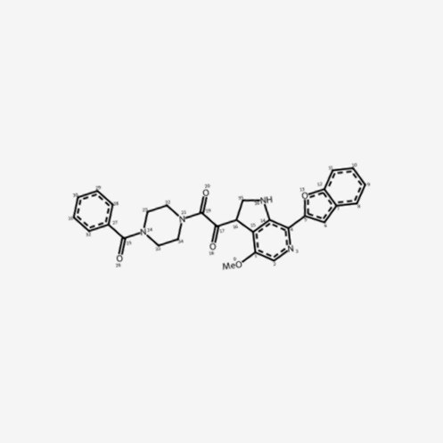 COc1cnc(-c2cc3ccccc3o2)c2c1C(C(=O)C(=O)N1CCN(C(=O)c3ccccc3)CC1)CN2